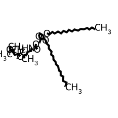 CCCCCCCCCCCCCCCCCCOC1COC(COC(=O)NCCCC(C)(C)OCCC(C)(C)OC)C1OCCCCCCCCCCCCCCCCCC